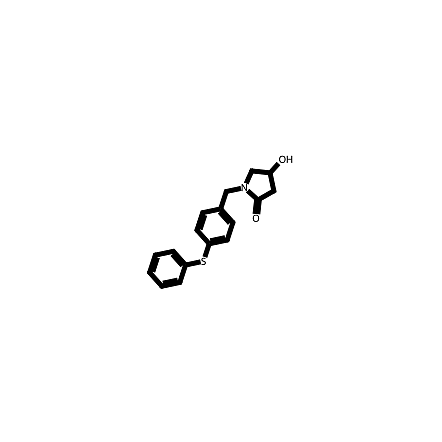 O=C1CC(O)CN1Cc1ccc(Sc2ccccc2)cc1